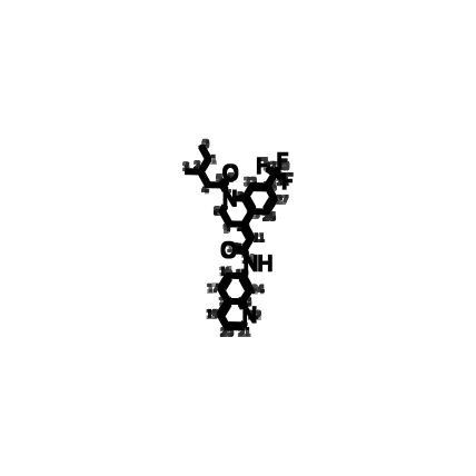 CCC(C)CC(=O)N1CC/C(=C\C(=O)Nc2ccc3cccnc3c2)c2ccc(C(F)(F)F)cc21